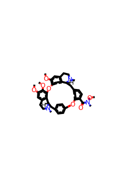 COc1cc2c3cc1Oc1c(OC)c(OC)cc4c1[C@H](Cc1ccc(cc1)Oc1cc(ccc1C(=O)N(C)OC)C[C@H]3N(C)CC2)N(C)CC4